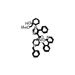 COC[C@]1(O)CCCC[C@H]1n1cnc(C(=O)N2CCN(Cc3ccccc3)C[C@H]2Cc2ccccc2-c2cccnc2OC)c1-c1ccccc1